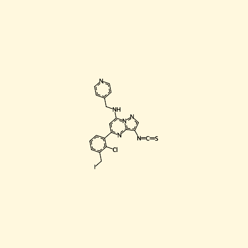 S=C=Nc1cnn2c(NCc3ccncc3)cc(-c3cccc(CI)c3Cl)nc12